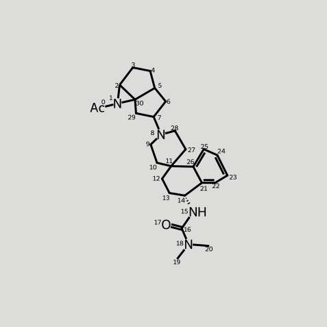 CC(=O)N1C2CCC3CC(N4CCC5(CC[C@@H](NC(=O)N(C)C)c6ccccc65)CC4)CC321